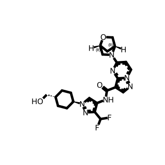 O=C(Nc1cn([C@H]2CC[C@H](CO)CC2)nc1C(F)F)c1cnn2ccc(N3C[C@H]4C[C@@H]3CO4)nc12